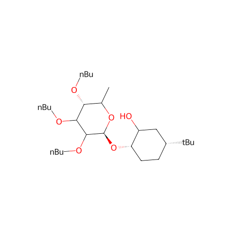 CCCCOC1C(OCCCC)[C@H](OCCCC)C(C)O[C@H]1O[C@H]1CC[C@@H](C(C)(C)C)CC1O